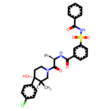 CC(C)[C@@H](NC(=O)c1cccc(S(=O)(=O)NC(=O)c2ccccc2)c1)C(=O)N1CC[C@](O)(c2ccc(Cl)cc2)C(C)(C)C1